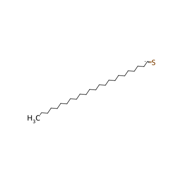 CCCCCCCCCCCCCCCCCCCCCCC[C]=S